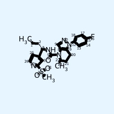 CCC[C@H](NC(=O)N1c2cnn(-c3ccc(F)cc3)c2CCC1C)c1ccnc(S(C)(=O)=O)c1